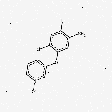 Nc1cc(Oc2ccc[n+]([O-])c2)c(Cl)cc1F